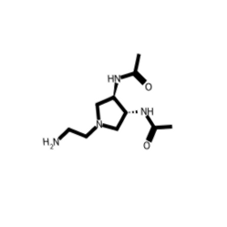 CC(=O)N[C@@H]1CN(CCN)C[C@H]1NC(C)=O